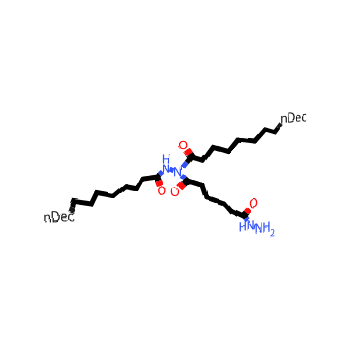 CCCCCCCCCCCCCCCCCC(=O)NN(C(=O)CCCCCCCCCCCCCCCCC)C(=O)CCCCC(=O)NN